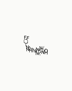 Cc1nc(NCc2cnn(CC3CCC(F)(F)CC3)c2)nc2c1NC(=O)[C@H](C)N2C